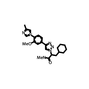 CNC(=O)C(CC1CCCCC1)n1cc(-c2ccc(-n3cnc(C)c3)c(OC)c2)nn1